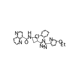 CCOc1ccc(-c2nnc(C3CC(NC(=O)c4ccnc5cccnc45)C3)n2-c2ccccc2Cl)nc1